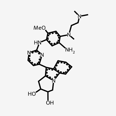 COc1cc(N(C)CCN(C)C)c(N)cc1Nc1nccc(-c2c3n(c4ccccc24)CC(O)C(O)C3)n1